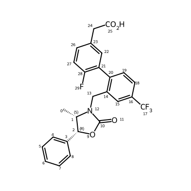 C[C@H]1[C@@H](c2ccccc2)OC(=O)N1Cc1cc(C(F)(F)F)ccc1-c1cc(CC(=O)O)ccc1F